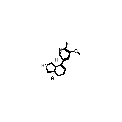 COc1cc(C2=CCC[C@H]3CNC[C@@H]23)cnc1Br